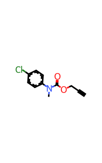 C#CCOC(=O)N(C)c1ccc(Cl)cc1